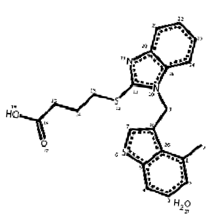 Cc1cccc2scc(Cn3c(SCCCC(=O)O)nc4ccccc43)c12.O